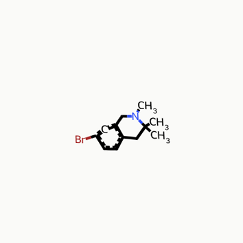 CN1Cc2cc(Br)ccc2CC1(C)C